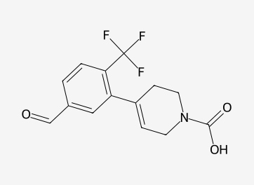 O=Cc1ccc(C(F)(F)F)c(C2=CCN(C(=O)O)CC2)c1